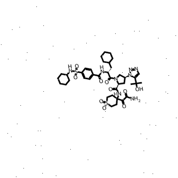 CC(C)(O)c1cnnn1[C@H]1C[C@@H](C(=O)NC2(C(=O)C(N)=O)CCS(=O)(=O)CC2)N(C(=O)[C@@H](CC2CCCCC2)NC(=O)c2ccc(S(=O)(=O)NC3CCCCC3)cc2)C1